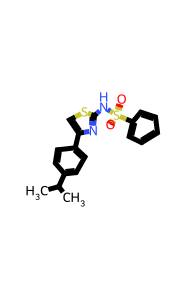 CC(C)c1ccc(-c2csc(NS(=O)(=O)c3ccccc3)n2)cc1